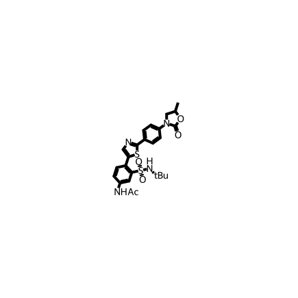 CC(=O)Nc1ccc(-c2cnc(-c3ccc(N4CC(C)OC4=O)cc3)s2)c(S(=O)(=O)NC(C)(C)C)c1